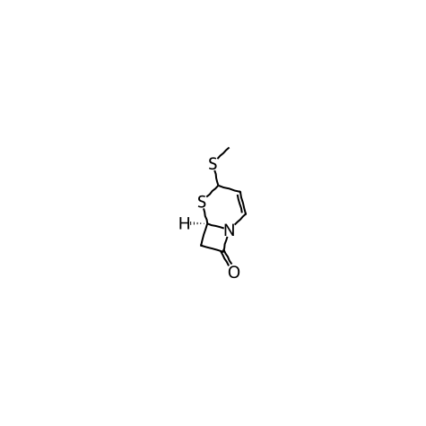 CSC1C=CN2C(=O)C[C@H]2S1